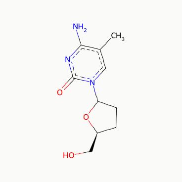 Cc1cn(C2CC[C@@H](CO)O2)c(=O)nc1N